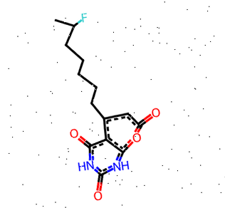 CC(F)CCCCCc1cc(=O)oc2[nH]c(=O)[nH]c(=O)c12